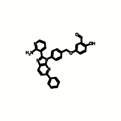 Nc1ncccc1-c1nc2ccc(-c3ccccc3)nc2n1-c1ccc(COc2ccc(O)c(C=O)c2)cc1